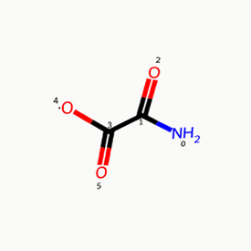 NC(=O)C([O])=O